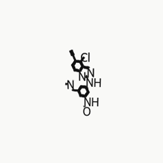 C#Cc1ccc2nc(Nc3cc(CN(C)C)cc(NC=O)c3)ncc2c1Cl